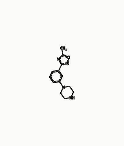 Cc1nc(-c2cccc(N3CCNCC3)c2)no1